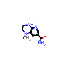 CN1CCNc2ncc(C(N)=O)cc21